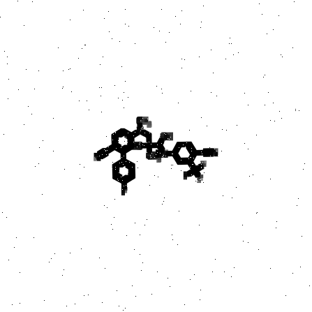 CN(CC(C)(O)C(O)NC1C=C(C(F)(F)F)C(C#N)=CC1)c1ccc(C#N)c(-c2ccc(F)cc2)c1